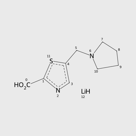 O=C(O)c1ncc(CN2CCCC2)s1.[LiH]